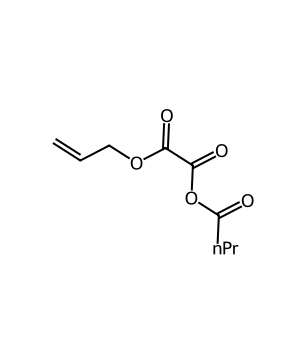 C=CCOC(=O)C(=O)OC(=O)CCC